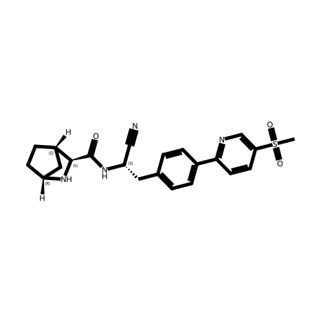 CS(=O)(=O)c1ccc(-c2ccc(C[C@@H](C#N)NC(=O)[C@H]3N[C@@H]4CC[C@H]3C4)cc2)nc1